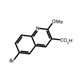 COc1nc2ccc(Br)cc2cc1C(=O)O